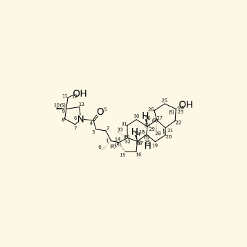 C[C@H](CCC(=O)N1CC[C@](C)(CO)C1)[C@H]1CC[C@H]2[C@@H]3CC=C4C[C@@H](O)CC[C@]4(C)[C@H]3CC[C@]12C